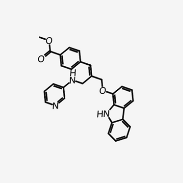 COC(=O)c1ccc(C=C(CNc2cccnc2)COc2cccc3c2[nH]c2ccccc23)cc1